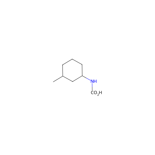 CC1CCCC(NC(=O)O)C1